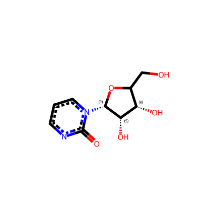 O=c1ncccn1[C@@H]1OC(CO)[C@H](O)[C@@H]1O